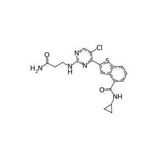 NC(=O)CCNc1ncc(Cl)c(-c2cc3c(C(=O)NC4CC4)cccc3s2)n1